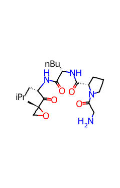 CCCC[C@H](NC(=O)[C@@H]1CCCN1C(=O)CN)C(=O)N[C@@H](CC(C)C)C(=O)[C@@]1(C)CO1